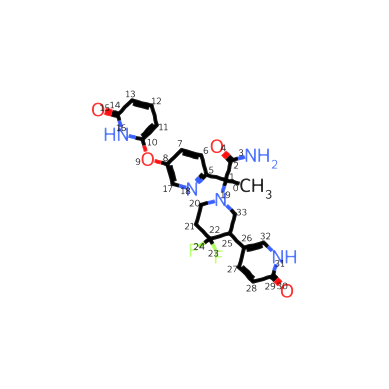 CC(C(N)=O)(c1ccc(Oc2cccc(=O)[nH]2)cn1)N1CCC(F)(F)C(c2ccc(=O)[nH]c2)C1